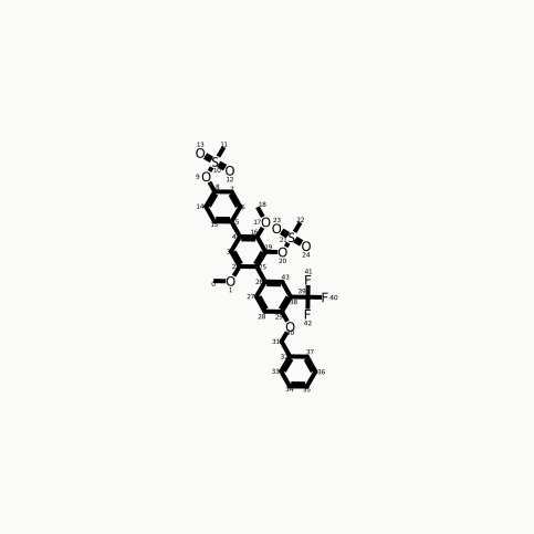 COc1cc(-c2ccc(OS(C)(=O)=O)cc2)c(OC)c(OS(C)(=O)=O)c1-c1ccc(OCc2ccccc2)c(C(F)(F)F)c1